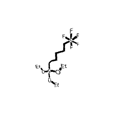 CCO[Si](CCCCCS(F)(F)(F)(F)F)(OCC)OCC